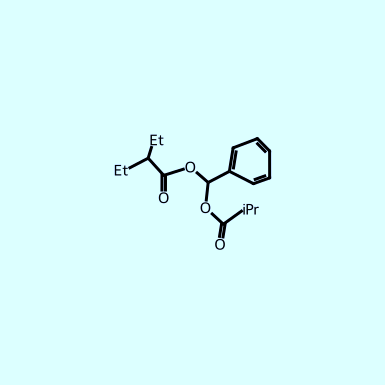 CCC(CC)C(=O)OC(OC(=O)C(C)C)c1ccccc1